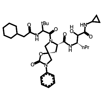 CCC[C@H](NC(=O)[C@@H]1C[C@@]2(CN(c3ccccc3)C(=O)O2)CN1C(=O)C(NC(=O)CC1CCCCC1)C(C)(C)C)C(O)C(=O)NC1CC1